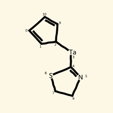 C1=C[CH]([Ta][C]2=NCCS2)C=C1